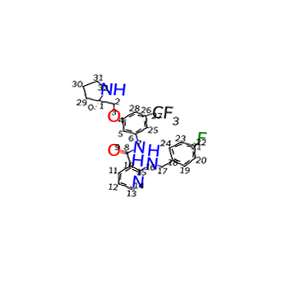 C[C@]1(COc2cc(NC(=O)c3cccnc3NCc3ccc(F)cc3)cc(C(F)(F)F)c2)CCCN1